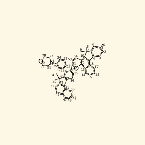 Cc1ccc2c(c1)C(C)(C)c1c3c(c4ccccc4c1-2)OC(c1ccc(N2CCOCC2)cc1)(c1ccc2c(c1)C(C)(C)c1ccc4ccccc4c1-2)C=C3